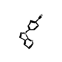 N#Cc1ccc(-n2ccc3cccnc32)cc1